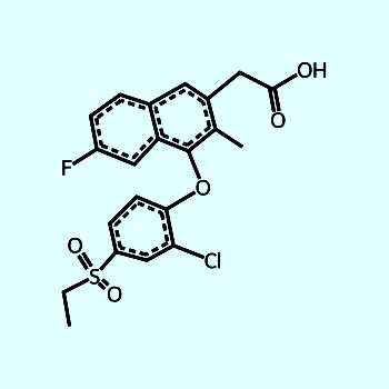 CCS(=O)(=O)c1ccc(Oc2c(C)c(CC(=O)O)cc3ccc(F)cc23)c(Cl)c1